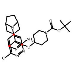 CC(C)(C)OC(=O)N1CCC(Oc2cc(N3C4CCC3CN(c3cc(Cl)nnc3N)C4)ccn2)CC1